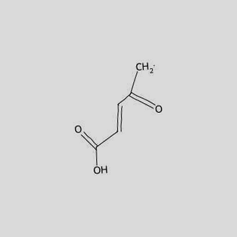 [CH2]C(=O)C=CC(=O)O